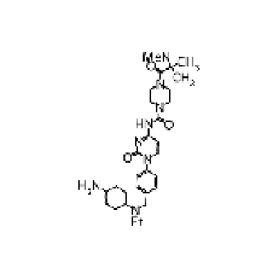 CCN(Cc1ccc(-n2ccc(NC(=O)N3CCN(C(=O)C(C)(C)NC)CC3)nc2=O)cc1)C1CCC(N)CC1